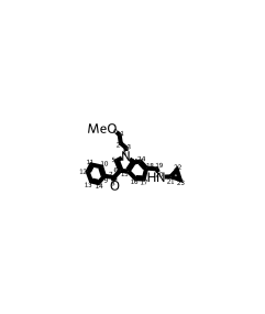 COCCCn1cc(C(=O)c2ccccc2)c2ccc(CNC3CC3)cc21